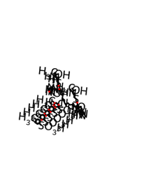 CC(O)NCCSCCC(N=CCCCN(C)CCCC=NC(CCSCCNC(C)O)C(=O)Nc1nnn[nH]1)C(=O)Nc1nnn[nH]1.Cc1ccc(S(=O)(=O)O)cc1.Cc1ccc(S(=O)(=O)O)cc1.Cc1ccc(S(=O)(=O)O)cc1.Cc1ccc(S(=O)(=O)O)cc1.Cc1ccc(S(=O)(=O)O)cc1